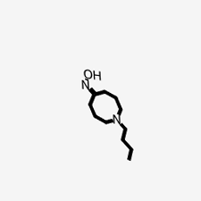 CCCCN1CCCC(=NO)CCC1